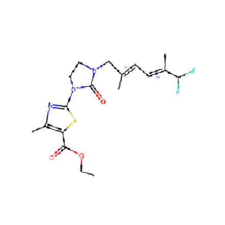 CCOC(=O)c1sc(N2CCN(C/C(C)=C/C=C(\C)C(F)F)C2=O)nc1C